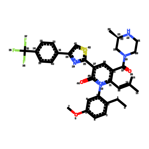 CCc1ccc(OC)cc1-n1c(C=C(C)C)c(C(=O)N2CCN[C@H](C)C2)cc(-c2nc(-c3ccc(C(F)(F)F)cc3)cs2)c1=O